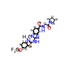 Cn1c(Nc2nc3ccc(OC(F)(F)F)cc3s2)nc2cc(C(=O)NCC(=O)N3CCCC3)ccc21